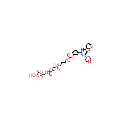 CC(CO)OC(O)COC(=O)CCCC(=O)NCCCCOC(=O)Oc1cccc(-c2nc(N3CCOCC3)c3oc4ncccc4c3n2)c1